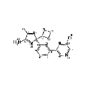 CC1=NC(c2cccc(-c3cncc(Cl)c3)c2)(C2CCC2)N=C1N